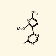 COc1nc(N)ccc1-c1cc(C)ncn1